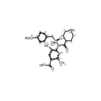 CCCC(=O)c1cc(C#N)c(N(C(=O)C2CCNCC2)S(=O)(=O)Cc2ccc(OC)cc2)nc1C